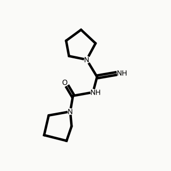 N=C(NC(=O)N1CCCC1)N1CCCC1